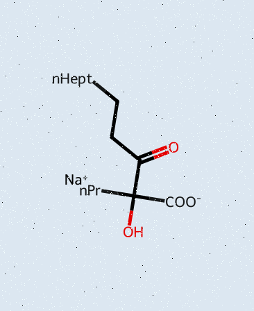 CCCCCCCCCC(=O)C(O)(CCC)C(=O)[O-].[Na+]